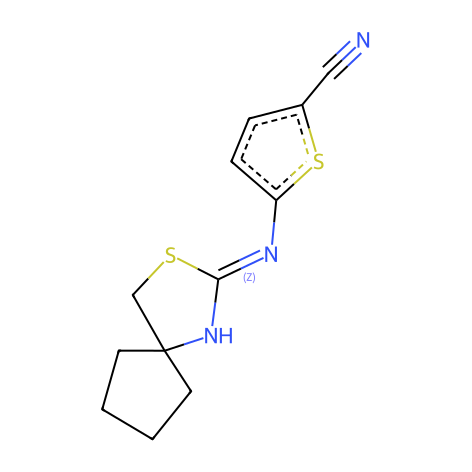 N#Cc1ccc(/N=C2/NC3(CCCC3)CS2)s1